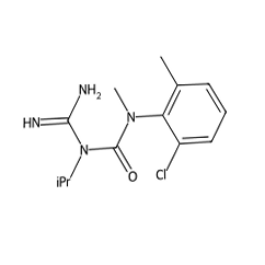 Cc1cccc(Cl)c1N(C)C(=O)N(C(=N)N)C(C)C